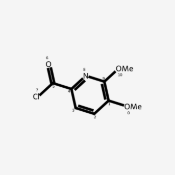 COc1ccc(C(=O)Cl)nc1OC